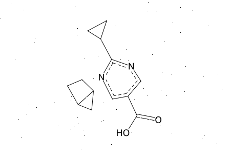 C1CC2CC12.O=C(O)c1cnc(C2CC2)nc1